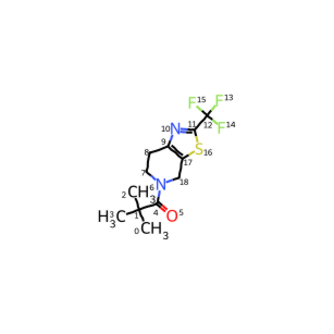 CC(C)(C)C(=O)N1CCc2nc(C(F)(F)F)sc2C1